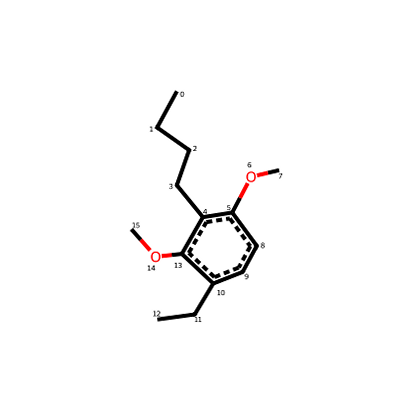 CCCCc1c(OC)[c]cc(CC)c1OC